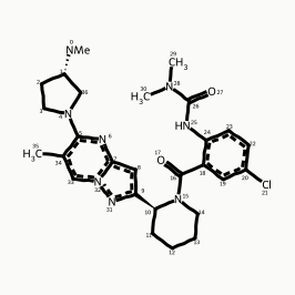 CN[C@H]1CCN(c2nc3cc([C@@H]4CCCCN4C(=O)c4cc(Cl)ccc4NC(=O)N(C)C)nn3cc2C)C1